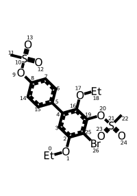 CCOc1cc(-c2ccc(OS(C)(=O)=O)cc2)c(OCC)c(OS(C)(=O)=O)c1Br